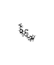 CN(C)C(=O)Oc1ccc(C[C@H](NC(=O)CN2CC34CCC(CC3S2(=O)=O)C4(C)C)C(=O)OC(C)(C)C)cc1